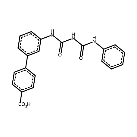 O=C(NC(=O)Nc1cccc(-c2ccc(C(=O)O)cc2)c1)Nc1ccccc1